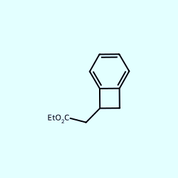 CCOC(=O)CC1Cc2ccccc21